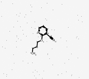 CCCCOc1ncccc1C#N